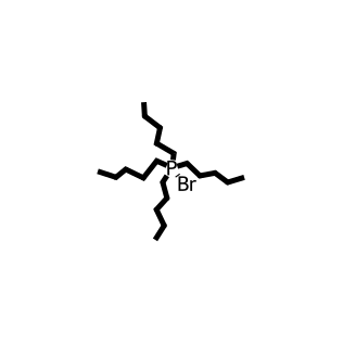 CCCCCP(Br)(CCCCC)(CCCCC)CCCCC